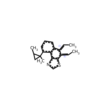 C/C=c1\c(=C/C)c2scnc2c2c(C3(C)CC3C)cccc12